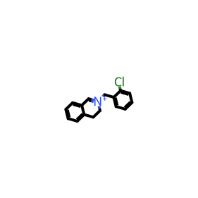 Clc1ccccc1C[N+]1=Cc2ccccc2CC1